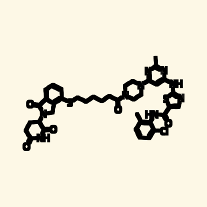 Cc1nc(Nc2ncc(C(=O)Nc3c(C)cccc3Cl)s2)cc(N2CCN(C(=O)CCCCCSc3cccc4c3CN(C3CCC(=O)NC3=O)C4=O)CC2)n1